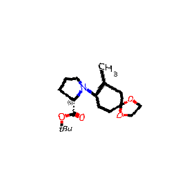 CC1CC2(CCC1N1CCC[C@H]1C(=O)OC(C)(C)C)OCCO2